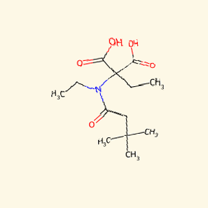 CCN(C(=O)CC(C)(C)C)C(CC)(C(=O)O)C(=O)O